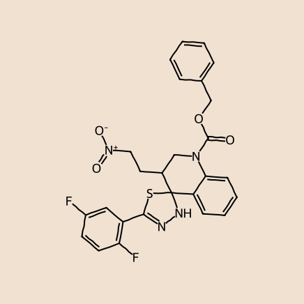 O=C(OCc1ccccc1)N1CC(CC[N+](=O)[O-])C2(NN=C(c3cc(F)ccc3F)S2)c2ccccc21